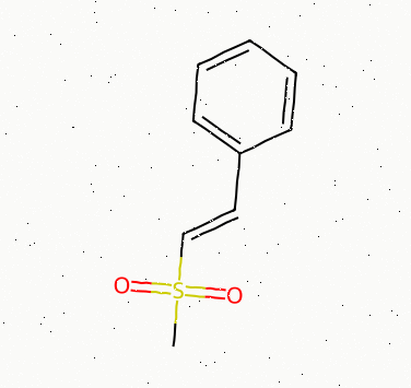 CS(=O)(=O)C=Cc1ccccc1